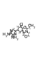 C=CC(=O)N1CCOC[C@H]1c1cc(Cl)cc(-c2cnc(N)c(N)n2)c1